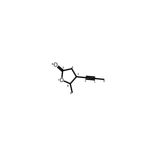 CC#CC1CC(=O)OC1C